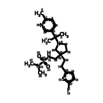 Cc1ccc(C(C)(C)N2CC[C@](CCc3ccc(F)s3)(CNS(=O)(=O)N(C)C)C2)cn1